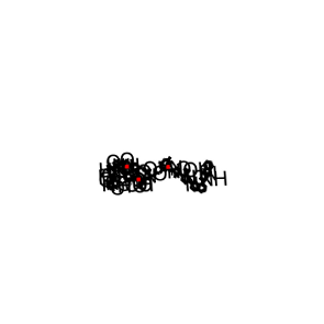 Cc1c(-c2ccc(N3CCc4cccc(C(=O)Nc5nc6ccccc6s5)c4C3)nc2C(=O)O)cnn1CC12CC3(C)CC(C)(C1)CC(OCCN(CCS(=O)(=O)O)C(=O)OCc1ccc(NC(=O)[C@H](C)NC(=O)[C@@H](NC(=O)CN4C(=O)C=CC4=O)C(C)C)cc1C/C=C1\O[C@H](C(=O)O)[C@@H](O)[C@H](O)[C@H]1O)(C3)C2